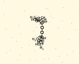 CCC(C)(O)C(=O)N[C@H](c1nc(-c2ccc(-c3ccc(-c4c[nH]c([C@@H](NC(=O)C(C)(O)CF)C(C)(C)C)n4)cc3)cc2)c[nH]1)C(C)(C)C